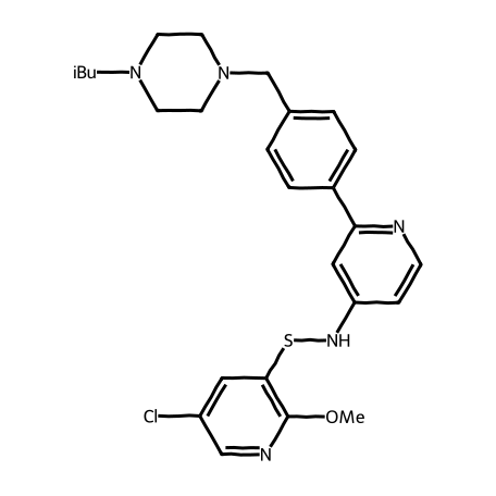 CCC(C)N1CCN(Cc2ccc(-c3cc(NSc4cc(Cl)cnc4OC)ccn3)cc2)CC1